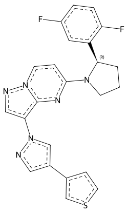 Fc1ccc(F)c([C@H]2CCCN2c2ccn3ncc(-n4cc(-c5ccsc5)cn4)c3n2)c1